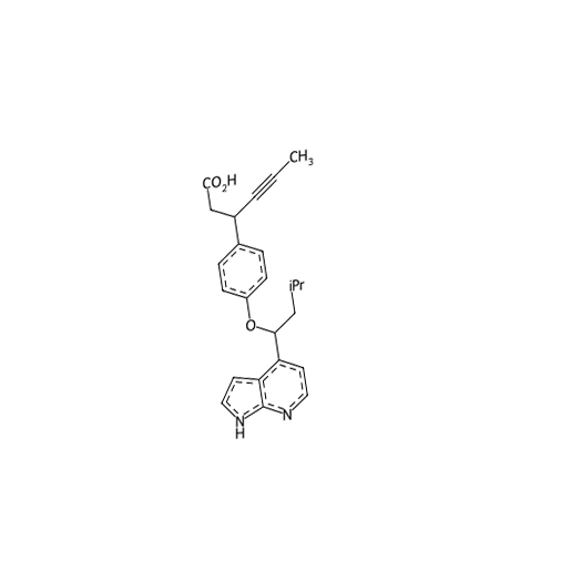 CC#CC(CC(=O)O)c1ccc(OC(CC(C)C)c2ccnc3[nH]ccc23)cc1